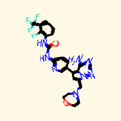 Nc1ncnn2c(CN3CCOCC3)cc(-c3ccc(NC(=O)Nc4cccc(C(F)(F)F)c4F)nc3)c12